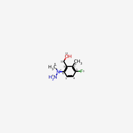 Cc1c(F)ccc(N(C)N)c1CO